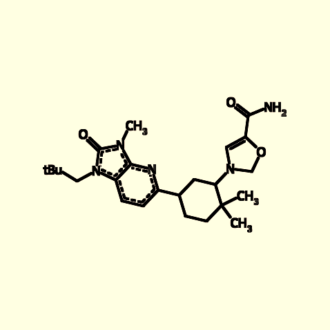 Cn1c(=O)n(CC(C)(C)C)c2ccc(C3CCC(C)(C)C(N4C=C(C(N)=O)OC4)C3)nc21